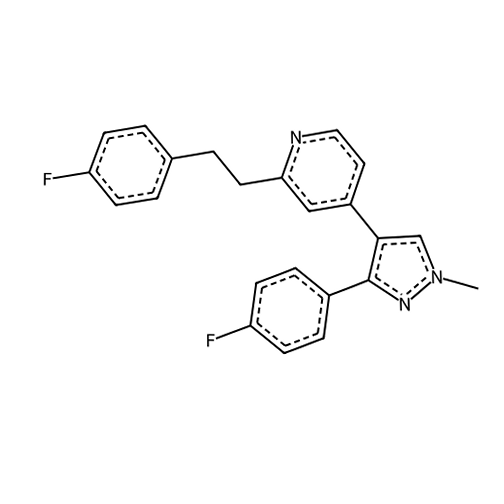 Cn1cc(-c2ccnc(CCc3ccc(F)cc3)c2)c(-c2ccc(F)cc2)n1